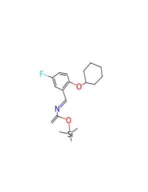 C=C(N=Cc1cc(F)ccc1OC1CCCCC1)O[Si](C)(C)C